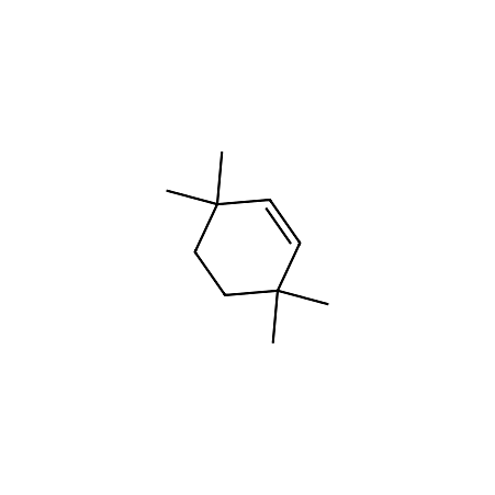 CC1(C)C=CC(C)(C)CC1